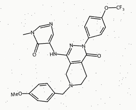 COc1ccc(CN2CCc3c(c(Nc4cncn(C)c4=O)nn(-c4ccc(OC(F)(F)F)cc4)c3=O)C2)cc1